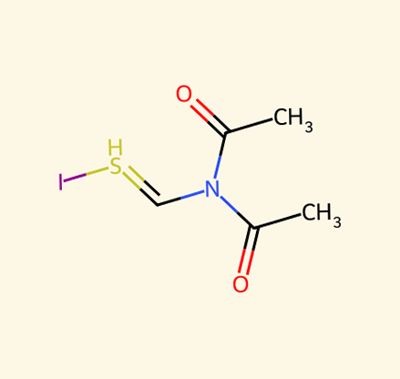 CC(=O)N(/C=[SH]/I)C(C)=O